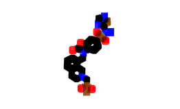 O=c1oc2cc(S(=O)(=O)Nc3ncns3)ccc2n1Cc1cccc2c1CN(C[SH](=O)=O)CC2